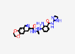 C=C(NC(=O)c1cc2cc3c(cc2cn1)OCCO3)Nc1cccc(C(=O)Nc2ncc[nH]2)c1N